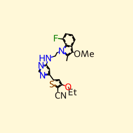 CCOc1cc(-c2cc(NCCn3c(C)c(OC)c4cccc(F)c43)ncn2)sc1C#N